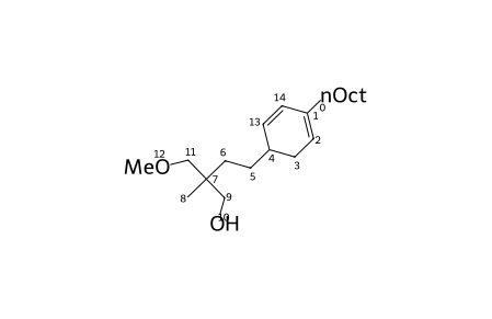 CCCCCCCCC1=CCC(CCC(C)(CO)COC)C=C1